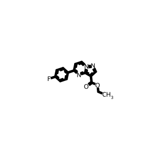 CCOC(=O)c1cnn2ccc(-c3ccc(F)cc3)nc12